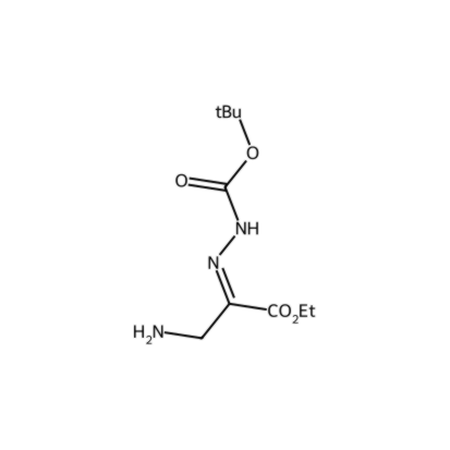 CCOC(=O)/C(CN)=N\NC(=O)OC(C)(C)C